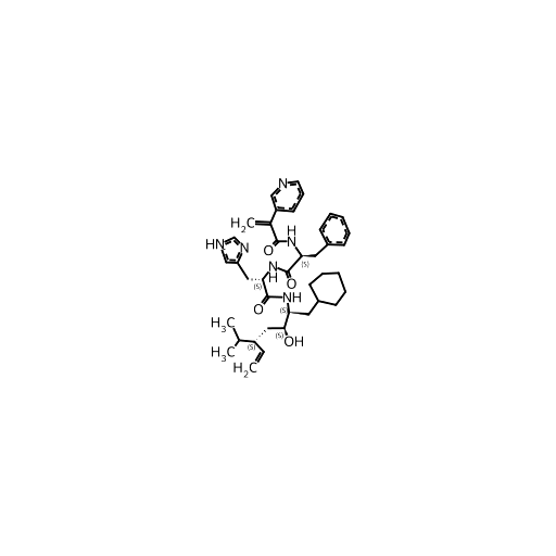 C=C[C@@H](C[C@H](O)[C@H](CC1CCCCC1)NC(=O)[C@H](Cc1c[nH]cn1)NC(=O)[C@H](Cc1ccccc1)NC(=O)C(=C)c1cccnc1)C(C)C